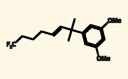 COc1cc(OC)cc(C(C)(C)C=CCCCC(F)(F)F)c1